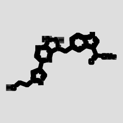 COC(=O)c1cnn2ccc(CN3NNc4ncc(-c5cnn(CCO)c5)nc43)cc12